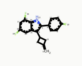 C=C1CC(c2c(-c3ccc(F)cc3)[nH]c3c(F)cc(F)cc23)C1